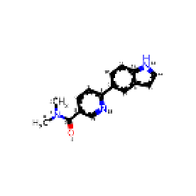 CN(C)C(=O)c1ccc(-c2ccc3[nH]ccc3c2)nc1